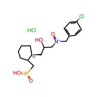 Cl.O=[N+](Cc1ccc(Cl)cc1)CC(O)C[C@@H]1CCCCC1C[PH](=O)O